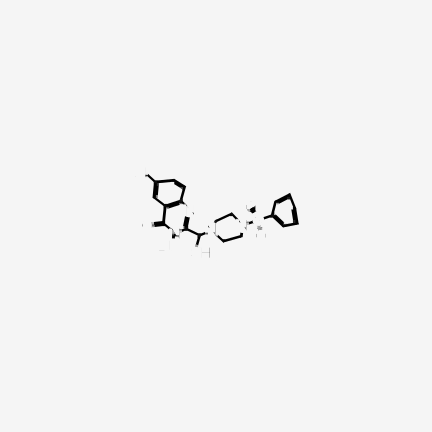 CCn1c(C(C)N2CCN(S(=O)(=O)c3ccccc3)CC2)nc2ccc(Cl)cc2c1=O